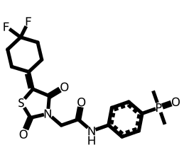 CP(C)(=O)c1ccc(NC(=O)CN2C(=O)SC(=C3CCC(F)(F)CC3)C2=O)cc1